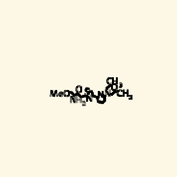 COCC(N)C(=O)CC1=NC(c2cccc(N3CC(C)OC(C)C3)n2)CS1